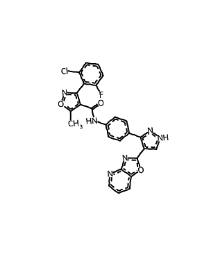 Cc1onc(-c2c(F)cccc2Cl)c1C(=O)Nc1ccc(-c2n[nH]cc2-c2nc3ncccc3o2)cc1